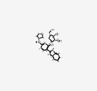 OC[C@H]1C[C@@H](Nc2nc(N[C@H]3CCOC3)ncc2-c2nc3ccccc3s2)[C@H](O)[C@@H]1O